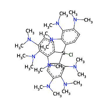 CN(C)c1ccc([Si](Cl)(c2ccc(N(C)C)c(N(C)C)c2N(C)C)c2ccc(N(C)C)c(N(C)C)c2N(C)C)c(N(C)C)c1N(C)C